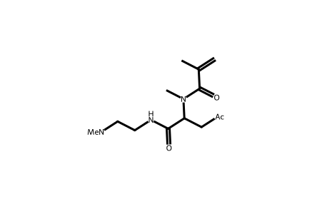 C=C(C)C(=O)N(C)C(CC(C)=O)C(=O)NCCNC